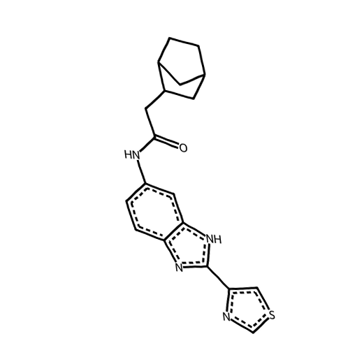 O=C(CC1CC2CCC1C2)Nc1ccc2nc(-c3cscn3)[nH]c2c1